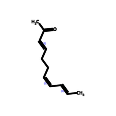 C/C=C/C=C\CC/C=C/C(C)=O